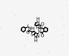 C[C@@H](NC(=O)c1cc2c(NC(=O)c3ccccc3NC(=O)c3ccc[nH]3)n[nH]c2s1)c1ccccc1